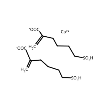 C=C(CCCCS(=O)(=O)O)C(=O)[O-].C=C(CCCCS(=O)(=O)O)C(=O)[O-].[Ca+2]